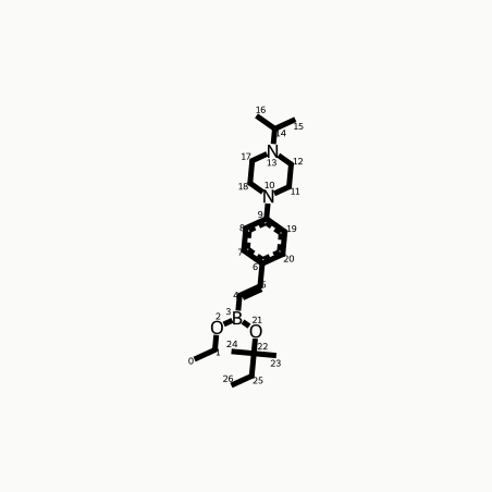 CCOB(/C=C/c1ccc(N2CCN(C(C)C)CC2)cc1)OC(C)(C)CC